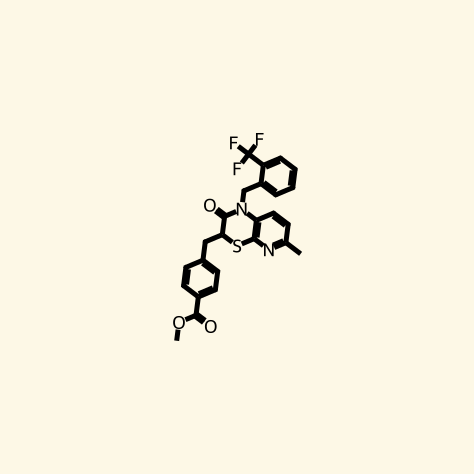 COC(=O)c1ccc(CC2Sc3nc(C)ccc3N(Cc3ccccc3C(F)(F)F)C2=O)cc1